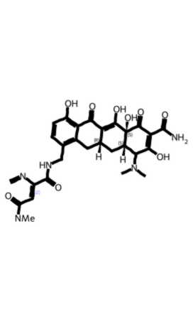 C=N/C(=C\C(=O)NC)C(=O)NCc1ccc(O)c2c1C[C@H]1C[C@H]3C(N(C)C)C(O)=C(C(N)=O)C(=O)[C@@]3(O)C(O)=C1C2=O